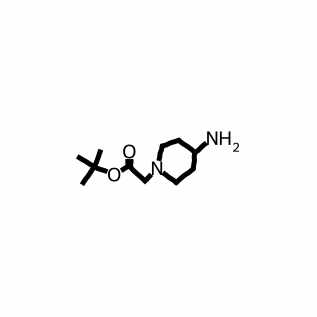 CC(C)(C)OC(=O)CN1CCC(N)CC1